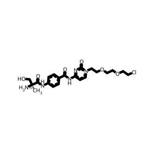 C[C@](N)(CO)C(=O)Nc1ccc(C(=O)Nc2ccn(CCOCCOCCCl)c(=O)n2)cc1